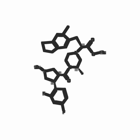 Cc1cc2c(cc1C[C@@H](C(=O)OC(C)(C)C)N1CCN(C(=O)[C@@H]3CN(C(C)(C)C)C[C@H]3c3ccc(F)cc3F)[C@@H](C)C1)CCC2